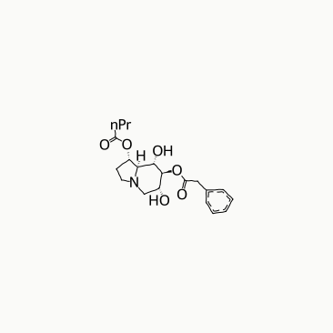 CCCC(=O)O[C@H]1CCN2C[C@@H](O)[C@H](OC(=O)Cc3ccccc3)[C@@H](O)[C@H]12